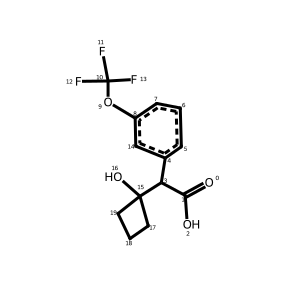 O=C(O)C(c1cccc(OC(F)(F)F)c1)C1(O)CCC1